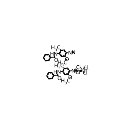 COc1cc(NC(=O)c2ccccc2)c(C)cc1[N+]#N.COc1cc(NC(=O)c2ccccc2)c(C)cc1[N+]#N.[Cl][Zn-2]([Cl])([Cl])[Cl]